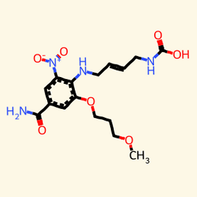 COCCCOc1cc(C(N)=O)cc([N+](=O)[O-])c1NCC=CCNC(=O)O